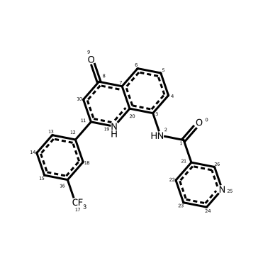 O=C(Nc1cccc2c(=O)cc(-c3cccc(C(F)(F)F)c3)[nH]c12)c1cccnc1